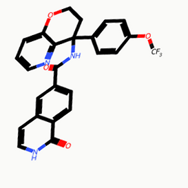 O=C(NC1(c2ccc(OC(F)(F)F)cc2)CCOc2cccnc21)c1ccc2c(=O)[nH]ccc2c1